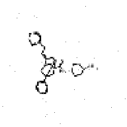 N[C@H]1CC[C@H](NC(=S)C23CC4CC(c5ccccc5)(CC(C2)C4=CCc2ccccc2)C3)CC1